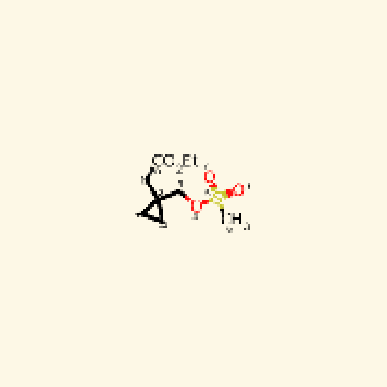 CCOC(=O)CC1(COS(C)(=O)=O)CC1